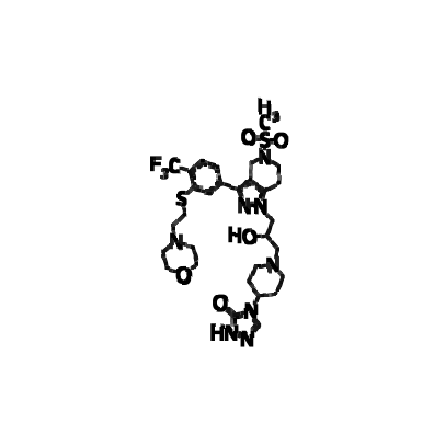 CS(=O)(=O)N1CCc2c(c(-c3ccc(C(F)(F)F)c(SCCN4CCOCC4)c3)nn2CC(O)CN2CCC(n3cn[nH]c3=O)CC2)C1